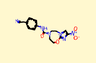 N#Cc1ccc(NC(=O)N2CCOc3nc([N+](=O)[O-])cn3CC2)cc1